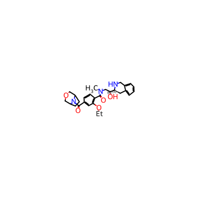 CCOc1cc(C(=O)N2C3CCC2COC3)ccc1C(=O)N(C)C[C@@H](O)[C@@H]1Cc2ccccc2CN1